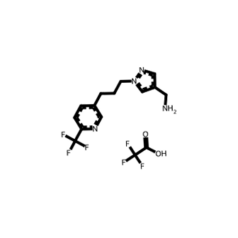 NCc1cnn(CCCc2ccc(C(F)(F)F)nc2)c1.O=C(O)C(F)(F)F